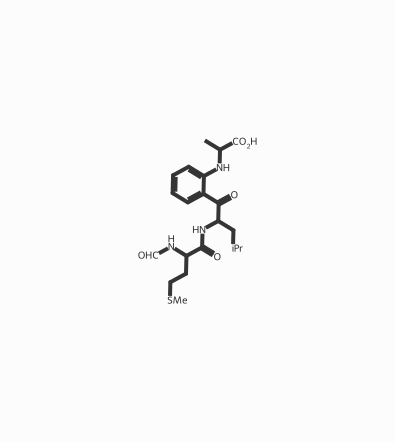 CSCCC(NC=O)C(=O)NC(CC(C)C)C(=O)c1ccccc1NC(C)C(=O)O